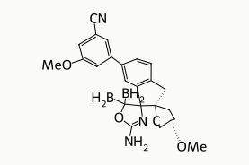 BC1(B)OC(N)=NC12c1cc(-c3cc(C#N)cc(OC)c3)ccc1C[C@]21CC[C@@H](OC)CC1